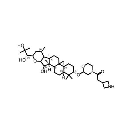 C[C@@H]1CC([C@H](O)C(C)(C)O)OC2C1[C@@]1(C)CCC34C[C@@]35CC[C@H](OC3CN(C(=O)CC6CNC6)CCO3)C(C)(C)[C@@H]5CC[C@H]4[C@]1(C)[C@H]2O